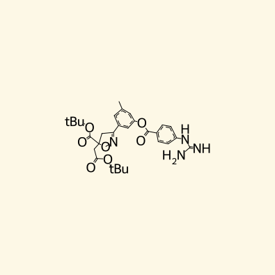 Cc1cc(OC(=O)c2ccc(NC(=N)N)cc2)cc(C2=NOC(CC(=O)OC(C)(C)C)(C(=O)OC(C)(C)C)C2)c1